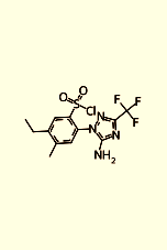 CCc1cc(S(=O)(=O)Cl)c(-n2nc(C(F)(F)F)nc2N)cc1C